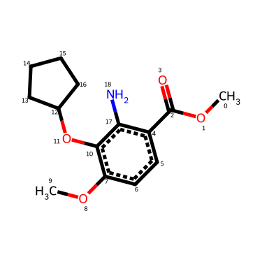 COC(=O)c1ccc(OC)c(OC2CCCC2)c1N